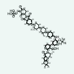 [2H]C([2H])([2H])Oc1ncc(-c2ccnc(N3CCn4c(cc5c4CC(C)(C)C5)C3=O)c2[C@@H](C)O)cc1Nc1ccc(N2CCN(C3CCN(c4ccc5c(c4)C(=O)N([C@H]4CCC(=O)N(COP(=O)(O)O)C4=O)C5=O)[C@@H](C)C3)C[C@@H]2C)cn1